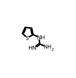 N=C(N)Nc1cccs1